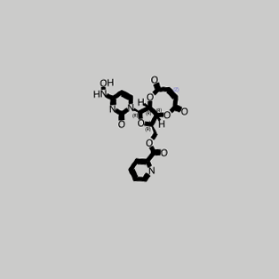 O=C1/C=C\C(=O)O[C@H]2[C@@H](O1)[C@H](n1ccc(NO)nc1=O)O[C@@H]2COC(=O)c1ccccn1